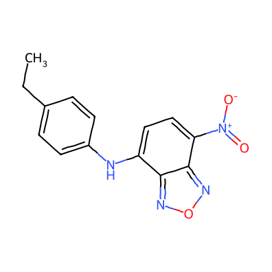 CCc1ccc(Nc2ccc([N+](=O)[O-])c3nonc23)cc1